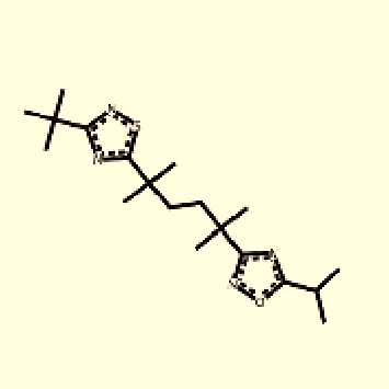 CC(C)c1nc(C(C)(C)CCC(C)(C)c2nc(C(C)(C)C)ns2)no1